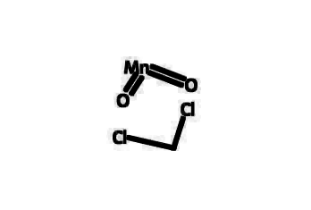 ClCCl.[O]=[Mn]=[O]